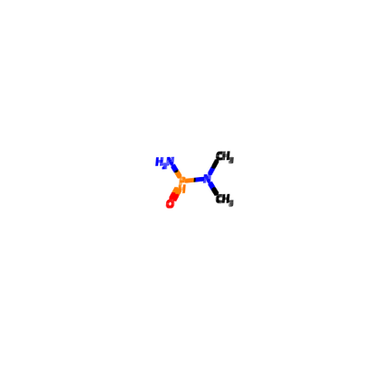 CN(C)[PH](N)=O